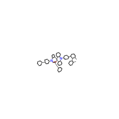 Cc1ccccc1-c1c(C)cccc1-c1ccc(N2c3ccccc3C3(c4ccccc42)c2ccccc2N(c2ccc(-c4ccccc4)cc2)c2ccc(-c4ccccc4)cc23)cc1